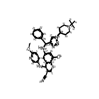 COc1ccc(Nc2c(C#N)cnc3c(Cl)cc(NC(c4ccccc4)c4cn(C5CCN(C(C)(C)C)CC5)nn4)cc23)cn1